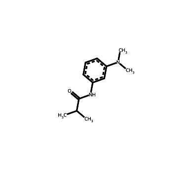 CC(C)C(=O)Nc1cccc(N(C)C)c1